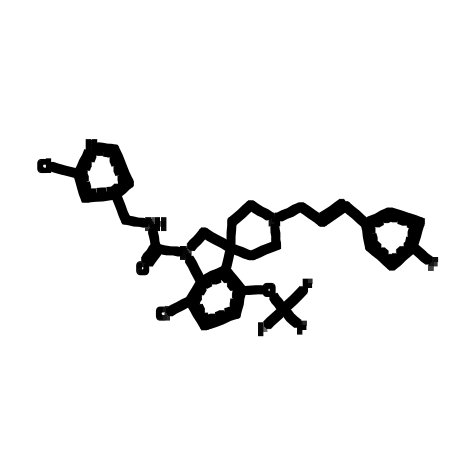 O=C(NCc1ccnc(Cl)c1)N1CC2(CCN(C/C=C/c3ccc(F)cc3)CC2)c2c(OC(F)(F)F)ccc(Cl)c21